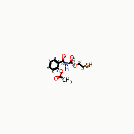 CC(=O)Oc1ccccc1C(=O)NC(=O)OCCS